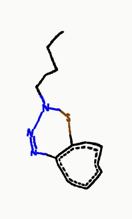 CCCCN1N=Nc2ccccc2S1